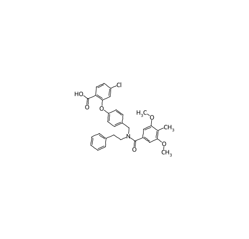 COc1cc(C(=O)N(CCc2ccccc2)Cc2ccc(Oc3cc(Cl)ccc3C(=O)O)cc2)cc(OC)c1C